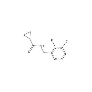 O=C(NCc1cccc(Cl)c1F)C1CC1